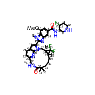 COc1cc(C(=O)N[C@H]2CNCC[C@@H]2F)cc2nc(-c3cc4ccc5nc4n3C[C@@H]3[C@@H](CCCC(C)(C)C(=O)N[C@@H]5C)C3(F)F)n(C)c12